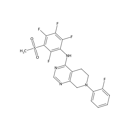 CS(=O)(=O)c1c(F)c(F)c(F)c(Nc2ncnc3c2CCN(c2ccccc2F)C3)c1F